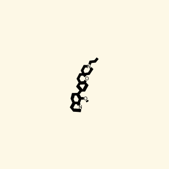 CCCN1CCC2(CCc3cc(-c4ccc5cccnc5c4OC)ccc3O2)CC1